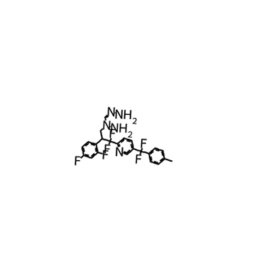 Cc1ccc(C(F)(F)c2ccc(C(F)(F)C(CN(N)/C=N\N)c3ccc(F)cc3F)nc2)cc1